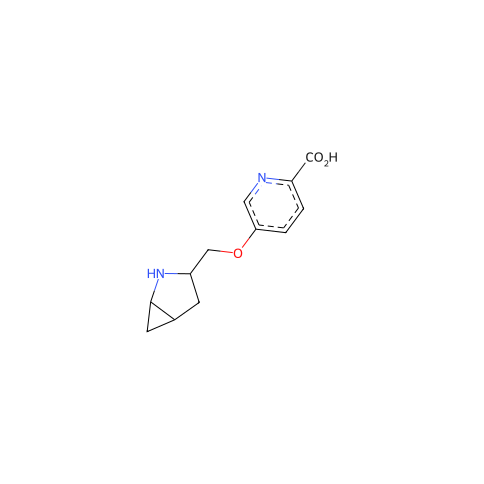 O=C(O)c1ccc(OCC2CC3CC3N2)cn1